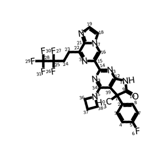 CC1(c2ccc(F)cc2)C(=O)Nc2nc(-c3cn4ccnc4c(CCC(F)(F)C(F)(F)F)n3)nc(N3CCC3)c21